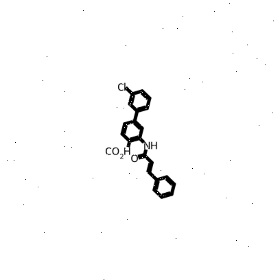 O=C(C=Cc1ccccc1)Nc1cc(-c2cccc(Cl)c2)ccc1C(=O)O